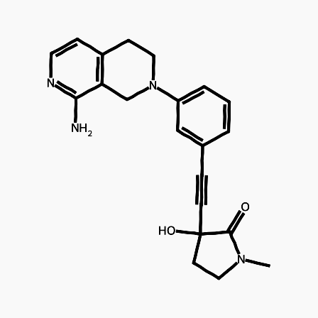 CN1CCC(O)(C#Cc2cccc(N3CCc4ccnc(N)c4C3)c2)C1=O